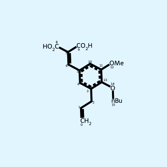 C=CCc1cc(C=C(C(=O)O)C(=O)O)cc(OC)c1OCCCC